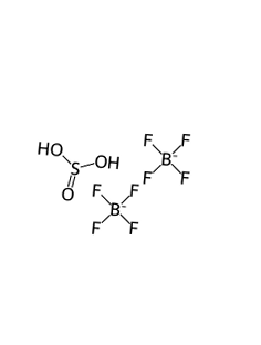 F[B-](F)(F)F.F[B-](F)(F)F.O=S(O)O